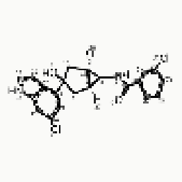 O=C(NC1[C@H]2CC(O)(c3cc(Cl)cc4[nH]ncc34)C[C@@H]12)c1cccc(Cl)c1